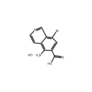 Cl.Nc1c(C(=O)O)cc(Br)c2cnccc12